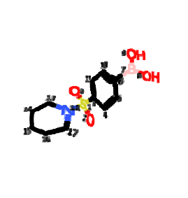 O=S(=O)(c1ccc(B(O)O)cc1)N1CCCCC1